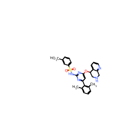 Cc1cccc(C)c1-c1cc(OC2CNCc3ncccc32)nc(NS(=O)(=O)c2cccc(C(=O)O)c2)n1